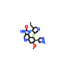 CCc1cncc(F)c1-n1c(=O)[nH]c2cnc3cc(OC)c(-c4cnn(C)c4)cc3c21